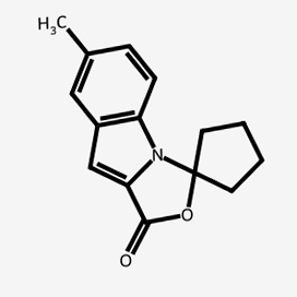 Cc1ccc2c(c1)cc1n2C2(CCCC2)OC1=O